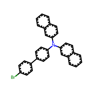 Brc1ccc(-c2ccc(N(c3ccc4ccccc4c3)c3ccc4ccccc4c3)cc2)cc1